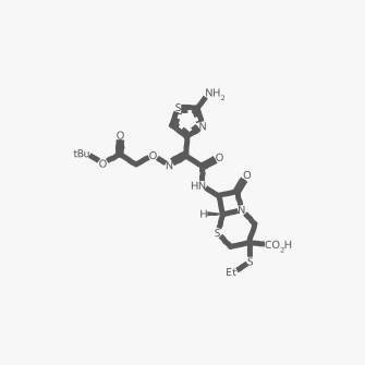 CCSC1(C(=O)O)CS[C@@H]2C(NC(=O)C(=NOCC(=O)OC(C)(C)C)c3csc(N)n3)C(=O)N2C1